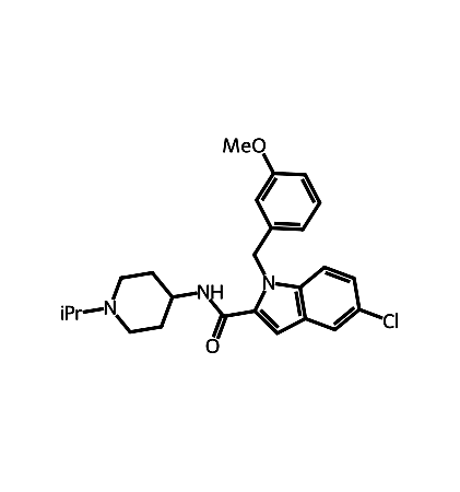 COc1cccc(Cn2c(C(=O)NC3CCN(C(C)C)CC3)cc3cc(Cl)ccc32)c1